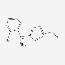 N[C@@H](c1ccc(CF)cc1)c1ccccc1Br